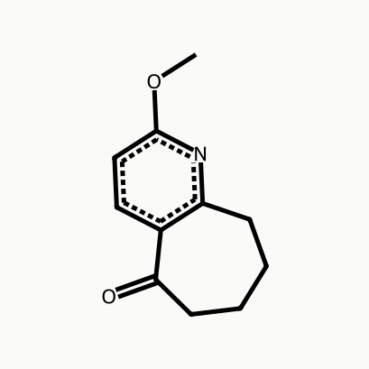 COc1ccc2c(n1)CCCCC2=O